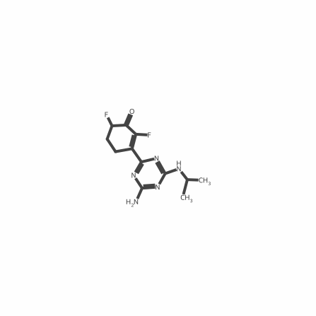 CC(C)Nc1nc(N)nc(C2=C(F)C(=O)C(F)CC2)n1